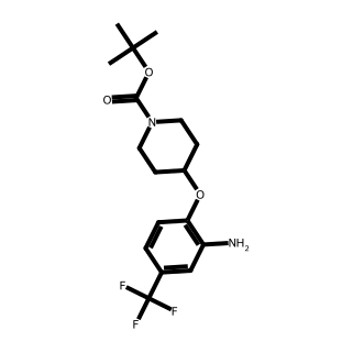 CC(C)(C)OC(=O)N1CCC(Oc2ccc(C(F)(F)F)cc2N)CC1